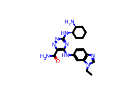 CCn1cnc2ccc(Nc3nc(N[C@@H]4CCCC[C@@H]4N)nnc3C(N)=O)cc21